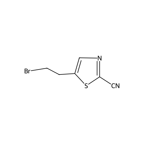 N#Cc1ncc(CCBr)s1